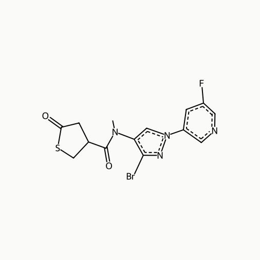 CN(C(=O)C1CSC(=O)C1)c1cn(-c2cncc(F)c2)nc1Br